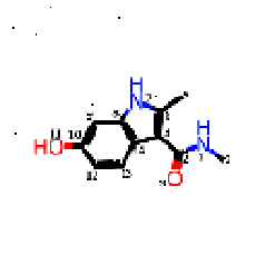 CNC(=O)c1c(C)[nH]c2cc(O)ccc12